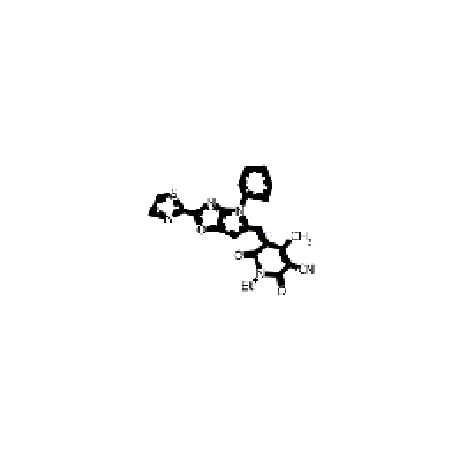 CCN1C(=O)C(C#N)=C(C)/C(=C/c2cc3oc(-c4nccs4)nc3n2-c2ccccc2)C1=O